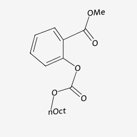 CCCCCCCCOC(=O)Oc1ccccc1C(=O)OC